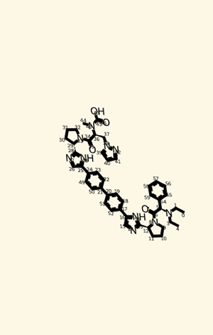 CCN(CC)[C@@H](C(=O)N1CCC[C@H]1c1ncc(-c2ccc(-c3ccc(-c4cnc([C@@H]5CCCN5C(=O)[C@H](Cn5cccn5)N(C)C(=O)O)[nH]4)cc3)cc2)[nH]1)c1ccccc1